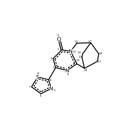 O=c1cc(-c2nccs2)nc2n1CC1CCC2CC1